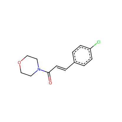 O=C(C=Cc1ccc(Cl)cc1)N1CCOCC1